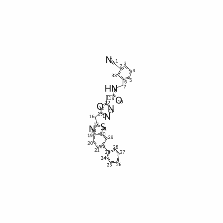 N#Cc1cccc(CNC(=O)Cc2nnc(Cc3nc4ccc(-c5ccccc5)cc4s3)o2)c1